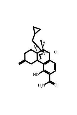 C=C1CC[C@@]2(O)[C@H]3Cc4ccc(C(N)=O)c(O)c4[C@@]2(CC[N@+]3(C)CC2CC2)C1.[Cl-]